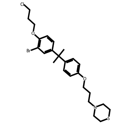 CC(C)(c1ccc(OCCCN2CCSCC2)cc1)c1ccc(OCCCCl)c(Br)c1